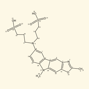 Cc1nc2cc3c4cc(N(CCCS(=O)(=O)O)CCCS(=O)(=O)O)ccc4n(C)c3cc2o1